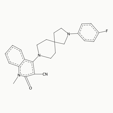 Cn1c(=O)c(C#N)c(N2CCC3(CCN(c4ccc(F)cc4)C3)CC2)c2ccccc21